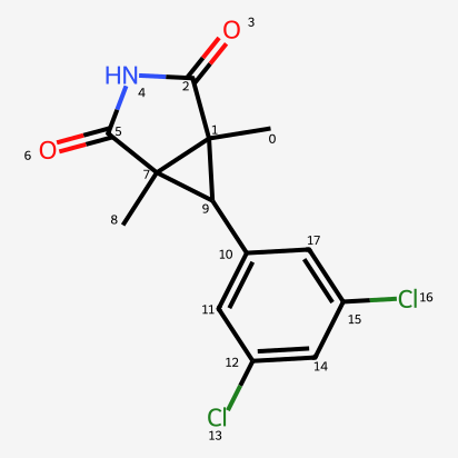 CC12C(=O)NC(=O)C1(C)C2c1cc(Cl)cc(Cl)c1